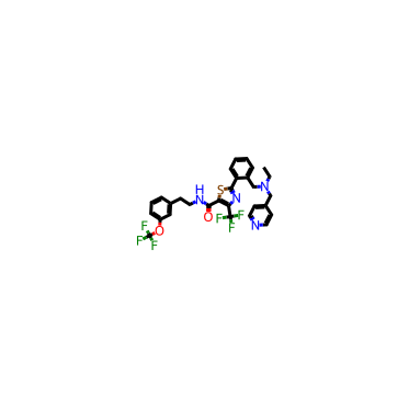 CCN(Cc1ccncc1)Cc1ccccc1-c1nc(C(F)(F)F)c(C(=O)NCCc2cccc(OC(F)(F)F)c2)s1